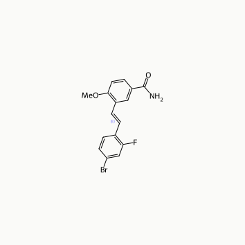 COc1ccc(C(N)=O)cc1/C=C/c1ccc(Br)cc1F